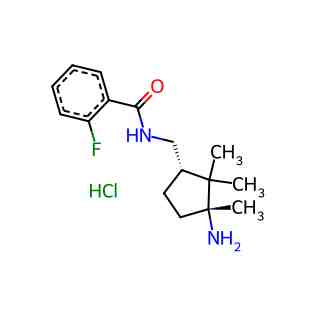 CC1(C)[C@@H](CNC(=O)c2ccccc2F)CC[C@@]1(C)N.Cl